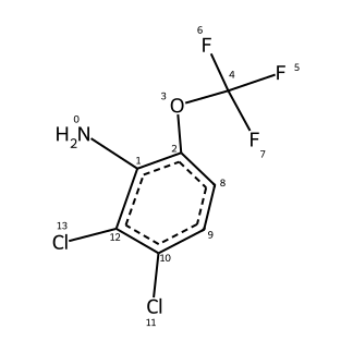 Nc1c(OC(F)(F)F)ccc(Cl)c1Cl